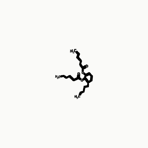 CCCCCC(=O)Oc1cccc(CCCCC)c1OC(=O)CCCCC